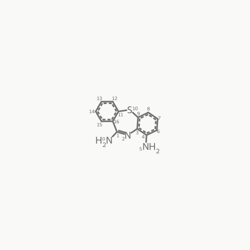 NC1=Nc2c(N)cccc2Sc2ccccc21